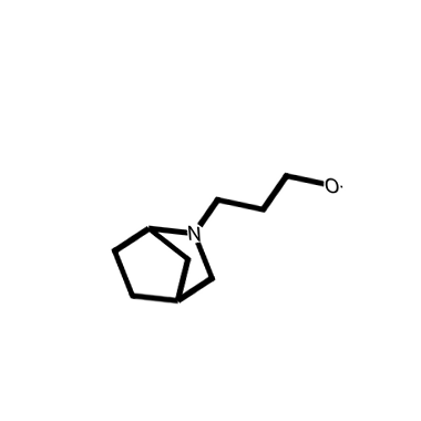 [O]CCCN1CC2CCC1C2